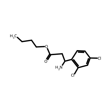 CCCCOC(=O)CC(N)c1ccc(Cl)cc1Cl